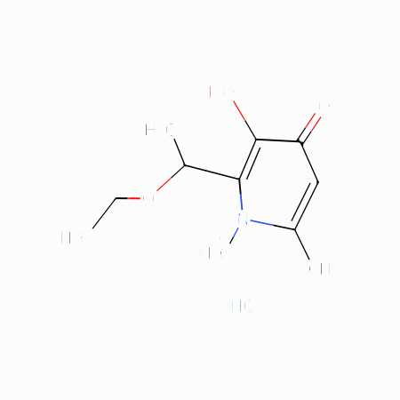 CCOC(C)c1c(O)c(=O)cc(C)n1C.Cl